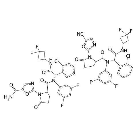 N#Cc1cnc(N2C(=O)CCC2C(=O)N(c2cc(F)cc(F)c2)[C@H](C(=O)NC2CC(F)(F)C2)c2ccccc2Cl)o1.NC(=O)c1cnc(N2C(=O)CCC2C(=O)N(c2cc(F)cc(F)c2)[C@H](C(=O)NC2CC(F)(F)C2)c2ccccc2Cl)o1